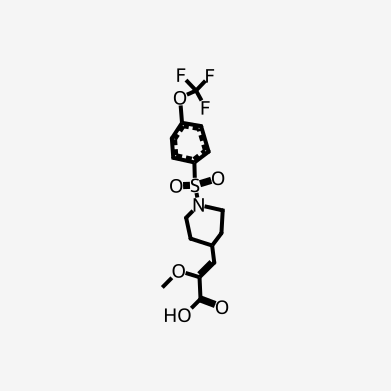 COC(=CC1CCN(S(=O)(=O)c2ccc(OC(F)(F)F)cc2)CC1)C(=O)O